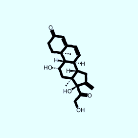 C=C1C[C@H]2[C@@H]3C=CC4=CC(=O)CC[C@]4(C)[C@H]3[C@@H](O)C[C@]2(C)[C@@]1(O)C(=O)CO